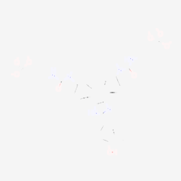 CCN(C(=O)NCCC[Si](OC)(OC)OC)c1ccc(-c2nc(-c3cc(C(C)C)c(O)c(C(C)C)c3)[nH]c2-c2ccc(N(CC)C(=O)NCCC[Si](OC)(OC)OC)cc2C)c(C)c1